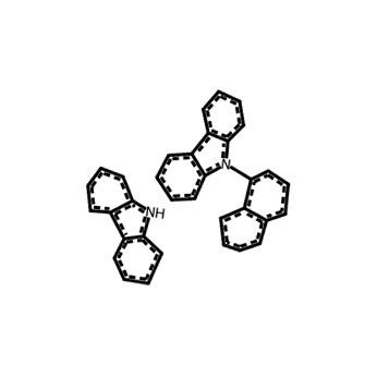 c1ccc2c(-n3c4ccccc4c4ccccc43)cccc2c1.c1ccc2c(c1)[nH]c1ccccc12